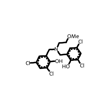 COCCN(Cc1cc(Cl)cc(Cl)c1O)Cc1cc(Cl)cc(Cl)c1O